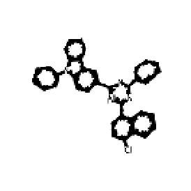 Clc1ccc(-c2nc(-c3ccccc3)nc(-c3ccc4c(c3)c3ccccc3n4-c3ccccc3)n2)c2ccccc12